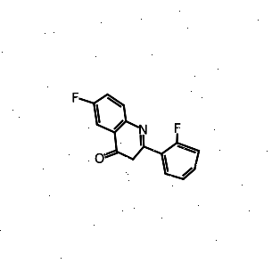 O=C1CC(c2ccccc2F)=Nc2ccc(F)cc21